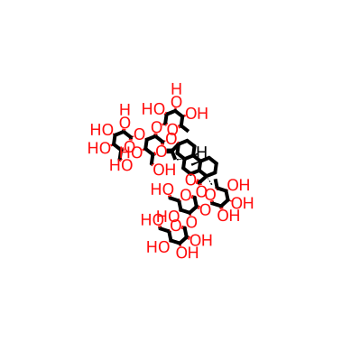 C=C1C[C@@]23CCC4[C@](C)(C(=O)O[C@@H]5OC(CO)[C@@H](O)[C@H](O[C@@H]6OC(CO)[C@@H](O)[C@H](O)C6O)C5O[C@@H]5OC(C)[C@H](O)[C@H](O)C5O)CCC[C@@]4(C)[C@@H]2CCC1(O[C@@H]1OC(CO)[C@@H](O)[C@H](O[C@@H]2OC(CO)[C@@H](O)[C@H](O)C2O)C1O[C@@H]1OC(C)[C@H](O)[C@H](O)C1O)C3